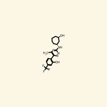 Cc1nc(N[C@@H]2CCCC[C@@H](O)C2)nnc1-c1ccc(C(F)(F)F)cc1O